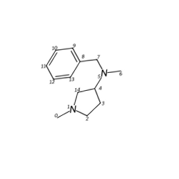 CN1CCC(N(C)Cc2ccccc2)C1